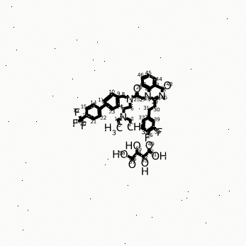 CCN(CC)CCN(Cc1ccc(-c2ccc(C(F)(F)F)cc2)cc1)C(=O)Cn1c(CCc2ccc(F)c(F)c2)nc(=O)c2ccccc21.O=C(O)C(O)C(O)C(=O)O